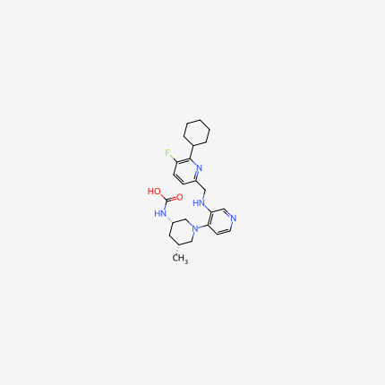 C[C@@H]1C[C@H](NC(=O)O)CN(c2ccncc2NCc2ccc(F)c(C3CCCCC3)n2)C1